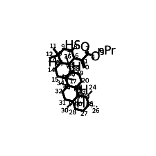 C=C(C(=O)OCCC)C1C(S)CC(C)(C)[C@@H]2CC[C@]3(C)[C@H](CC[C@@H]4[C@@H]5[C@@H](C)[C@H](C)CC[C@]5(C)CC[C@]43C)[C@@]12C